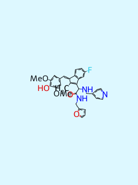 COc1cc(C=C2C(C)=C(C(NCc3ccncc3)C(=O)NCc3ccco3)c3cc(F)ccc32)cc(OC)c1O